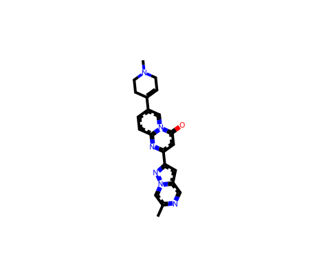 Cc1cn2nc(-c3cc(=O)n4cc(C5=CCN(C)CC5)ccc4n3)cc2cn1